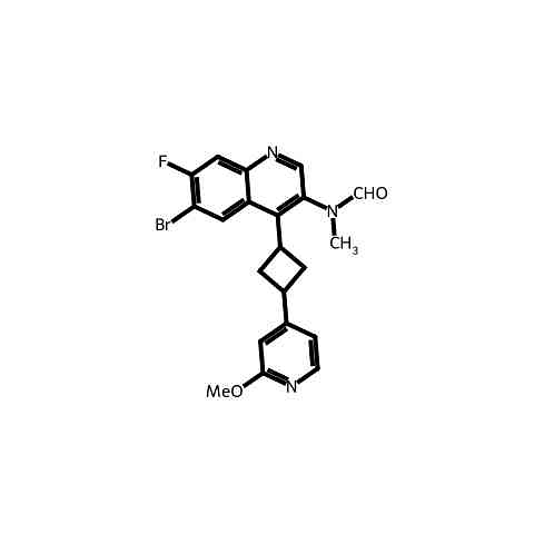 COc1cc(C2CC(c3c(N(C)C=O)cnc4cc(F)c(Br)cc34)C2)ccn1